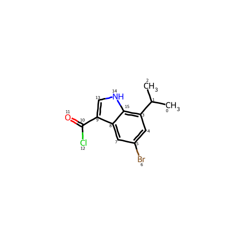 CC(C)c1cc(Br)cc2c(C(=O)Cl)c[nH]c12